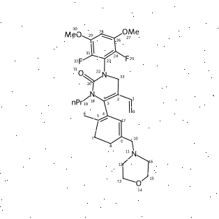 C=CC1=C(C2=C(C)CCC(CN3CCOCC3)=C2)N(CCC)C(=O)N(c2c(F)c(OC)cc(OC)c2F)C1